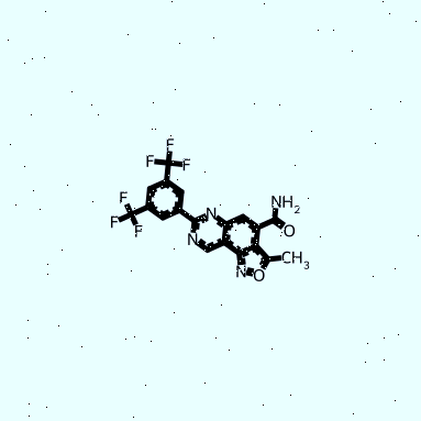 Cc1onc2c1c(C(N)=O)cc1nc(-c3cc(C(F)(F)F)cc(C(F)(F)F)c3)ncc12